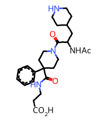 CC(=O)NC(CC1CCNCC1)C(=O)N1CCC(C(=O)NCCC(=O)O)(c2ccccc2)CC1